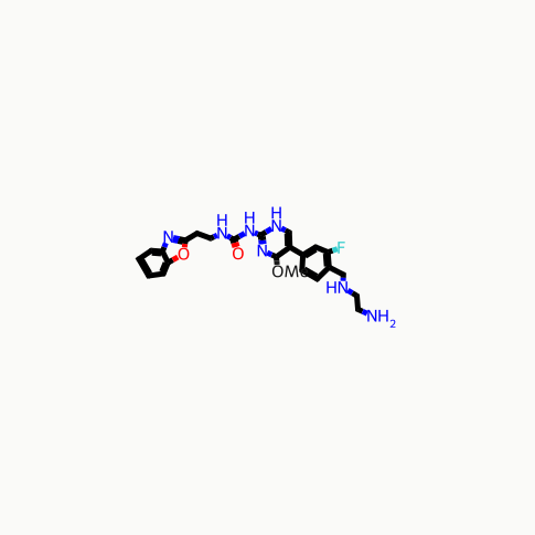 COC1N=C(NC(=O)NCCc2nc3ccccc3o2)NC=C1c1ccc(CNCCN)c(F)c1